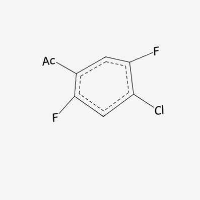 CC(=O)c1cc(F)c(Cl)cc1F